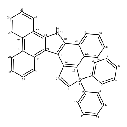 C1=CS(c2ccccc2)(c2ccccc2)c2c1c1c([nH]c3c4ccccc4c4ccccc4c31)c1ccccc21